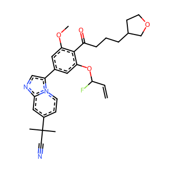 C=CC(F)Oc1cc(-c2cnc3cc(C(C)(C)C#N)ccn23)cc(OC)c1C(=O)CCCC1CCOC1